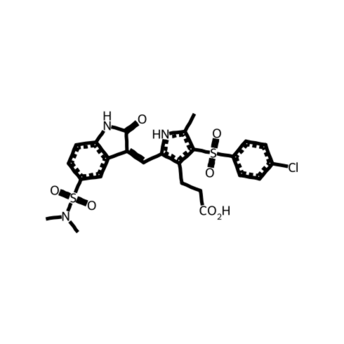 Cc1[nH]c(/C=C2\C(=O)Nc3ccc(S(=O)(=O)N(C)C)cc32)c(CCC(=O)O)c1S(=O)(=O)c1ccc(Cl)cc1